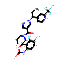 CCC(N/C=C(\C=N)C(=O)N1CCC[C@@]2(C1)OC(=O)Nc1ccc(Cl)c(F)c12)c1ccnc(C(F)(F)F)c1